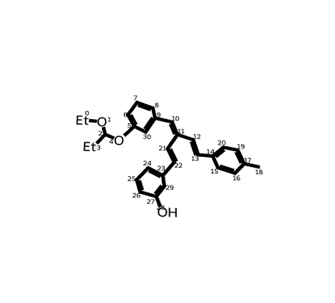 CCOC(CC)Oc1cccc(C=C(C=Cc2ccc(C)cc2)C=Cc2cccc(O)c2)c1